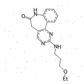 CCOCCCNc1ncc2c(n1)-c1ccccc1NC(=O)C2